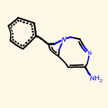 NC1=CC2=C(c3ccccc3)N2C=N1